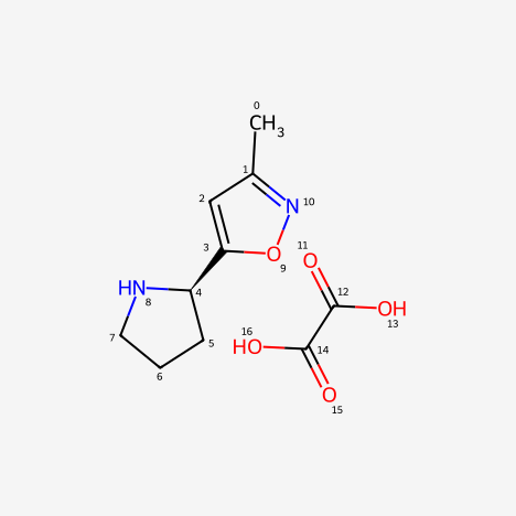 Cc1cc([C@H]2CCCN2)on1.O=C(O)C(=O)O